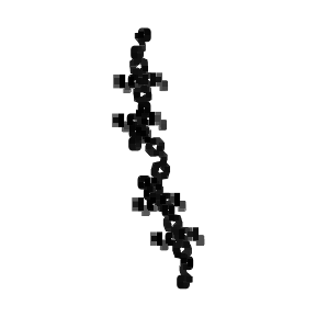 CC(C)(c1ccc(OCC2CO2)cc1)c1ccc(OCC(C)(C)C2CN(c3ccc(Cc4ccc(N5CC(C(C)(C)COc6ccc(C(C)(C)c7ccc(OCC8CO8)cc7)cc6)OC5=O)cc4)cc3)C(=O)O2)cc1